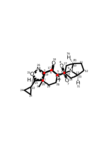 CC1(N)CCN(S(=O)(=O)N2[C@@H]3CC[C@H]2C[C@@H](NC(=O)c2cc(C4CC4)on2)C3)CC1